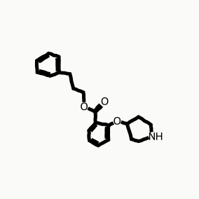 O=C(OCCCc1ccccc1)c1ccccc1OC1CCNCC1